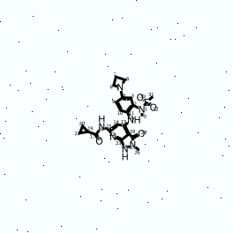 CN(c1cc(N2CCC2)ccc1Nc1cc(NC(=O)C2CC2)nc2[nH]n(C)c(=O)c12)S(C)(=O)=O